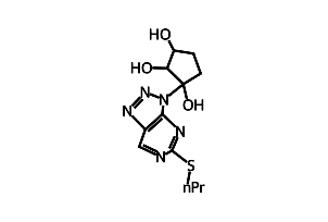 CCCSc1ncc2nnn(C3(O)CCC(O)C3O)c2n1